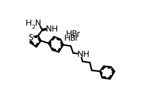 Br.Br.N=C(N)c1sccc1-c1ccc(CCNCCCc2ccccc2)cc1